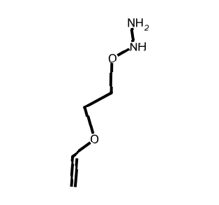 C=COCCONN